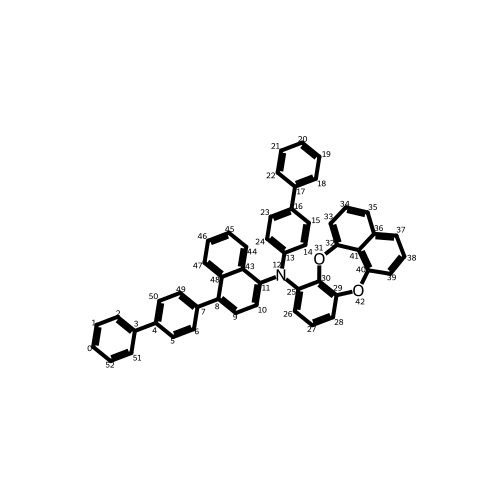 c1ccc(-c2ccc(-c3ccc(N(c4ccc(-c5ccccc5)cc4)c4cccc5c4Oc4cccc6cccc(c46)O5)c4ccccc34)cc2)cc1